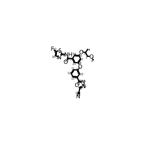 COCC(C)Oc1cc(Oc2cccc(-c3nnc(C#N)o3)c2)cc(C(=O)Nc2ncc(F)s2)c1